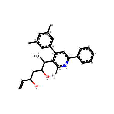 C=CC(O)CC(O)C(C(=O)O)c1c(-c2cc(C)cc(C)c2)cc(-c2ccccc2)nc1C(C)C